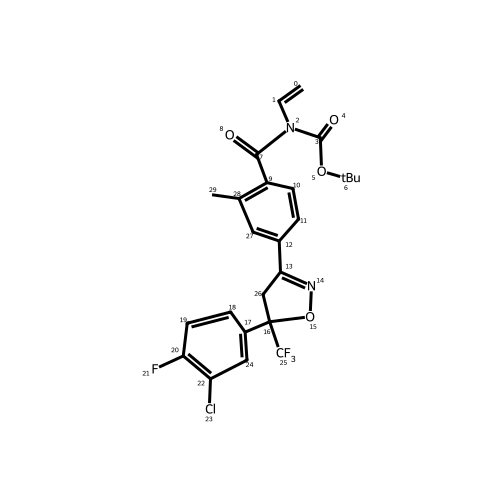 C=CN(C(=O)OC(C)(C)C)C(=O)c1ccc(C2=NOC(c3ccc(F)c(Cl)c3)(C(F)(F)F)C2)cc1C